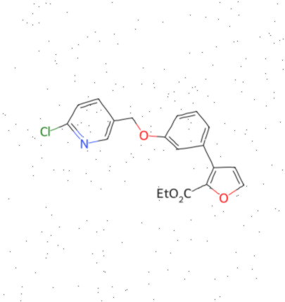 CCOC(=O)c1occc1-c1cccc(OCc2ccc(Cl)nc2)c1